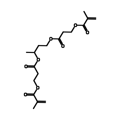 C=C(C)C(=O)OCCC(=O)OCCC(C)OC(=O)CCOC(=O)C(=C)C